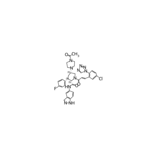 CC(=O)N1CCN([C@H]2C[C@@H](c3ccc(F)cc3)[C@@H](C(=O)Nc3ccc4[nH]ncc4c3)N(C(=O)C=Cc3cc(Cl)ccc3-n3cnnn3)C2)CC1